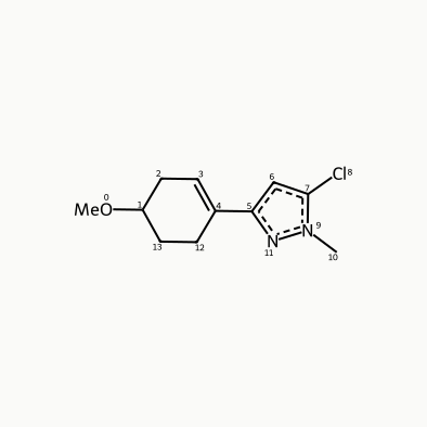 COC1CC=C(c2cc(Cl)n(C)n2)CC1